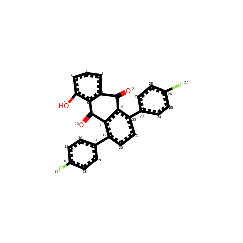 O=C1c2cccc(O)c2C(=O)c2c(-c3ccc(F)cc3)ccc(-c3ccc(F)cc3)c21